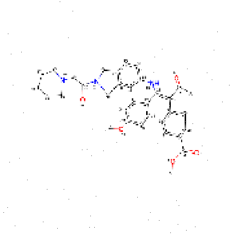 COC(=O)c1ccc(/C(C(C)=O)=C(/Nc2ccc3c(c2)CN(C(=O)CN2CCCCC2)C3)c2ccc(OC)cc2)cc1